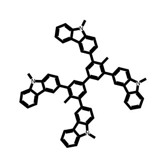 Cc1c(-c2ccc3c(c2)c2ccccc2n3C)cc(-c2cc(-c3ccc4c(c3)c3ccccc3n4C)c(C)c(-c3ccc4c(c3)c3ccccc3n4C)c2)cc1-c1ccc2c(c1)c1ccccc1n2C